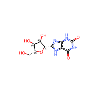 O=c1[nH]c(=O)c2[nH]c([C@@H]3O[C@H](CO)[C@@H](O)[C@H]3O)nc2[nH]1